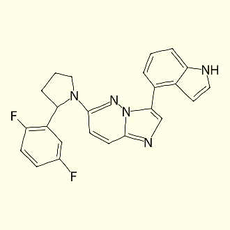 Fc1ccc(F)c(C2CCCN2c2ccc3ncc(-c4cccc5[nH]ccc45)n3n2)c1